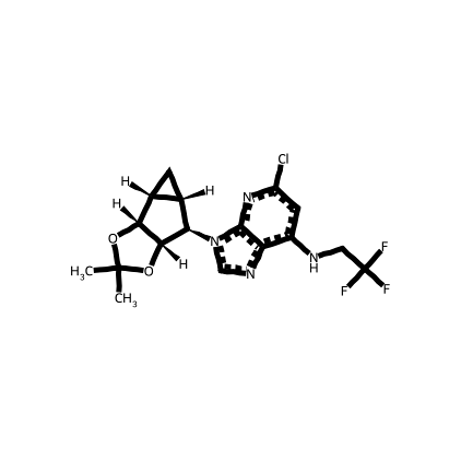 CC1(C)O[C@@H]2[C@@H]3C[C@@H]3[C@@H](n3cnc4c(NCC(F)(F)F)cc(Cl)nc43)[C@@H]2O1